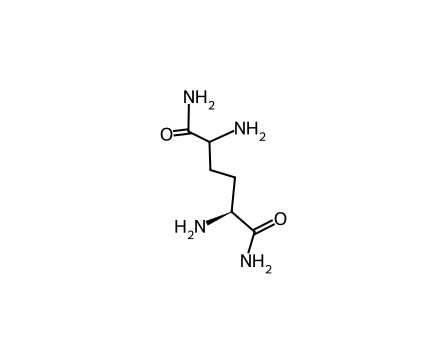 NC(=O)C(N)CC[C@H](N)C(N)=O